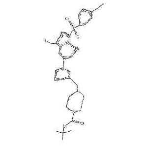 Cc1ccc(S(=O)(=O)n2cc(I)c3cc(-c4cccc(CC5CCN(C(=O)OC(C)(C)C)CC5)c4)cnc32)cc1